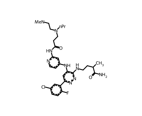 CCCN(CCNC)CCC(=O)Nc1cc(Nc2cc(-c3cc(Cl)ccc3F)nnc2NCCC(C)C(N)=O)ccn1